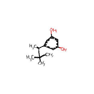 C=C(c1cc(O)cc(O)c1)C(C)(C)C